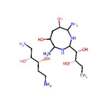 CC[C@H](O)[C@@H](O)C1NC(N)C(O)CC(O)C(N)N1.NCC[C@@H](O)[C@H](O)CN